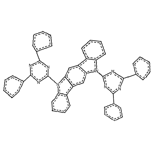 c1ccc(-c2nc(-c3ccccc3)nc(-n3c4ccccc4c4cc5c(cc43)c3ccccc3n5-c3nc(-c4ccccc4)nc(-c4ccccc4)n3)n2)cc1